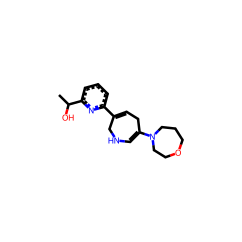 CC(O)c1cccc(C2=CCC(N3CCCOCC3)=CNC2)n1